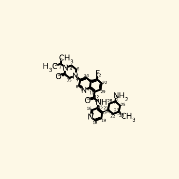 CC(C)N1CCN(c2cnc3c(C(=O)Nc4cnccc4[C@@H]4C[C@H](C)C[C@H](N)C4)ccc(F)c3c2)CC1=O